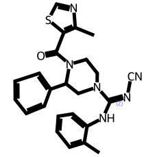 Cc1ccccc1N/C(=N/C#N)N1CCN(C(=O)c2scnc2C)C(c2ccccc2)C1